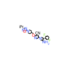 CC(C)c1noc(N2CCC(COc3ncc(N4C[C@H](C5=CC(F)CC=C5F)[C@@H](N)C4)cc3C#N)CC2)n1